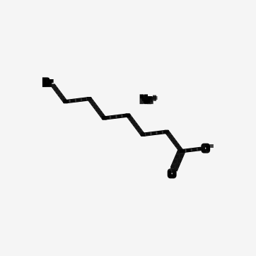 O=C([O-])CCCCCCBr.[Na+]